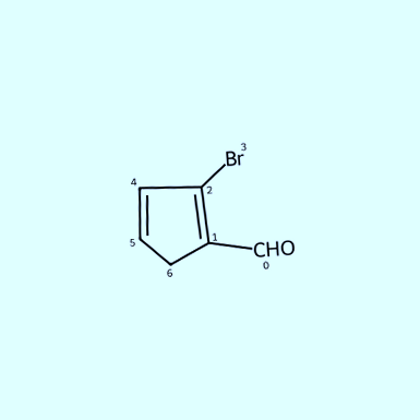 O=CC1=C(Br)C=CC1